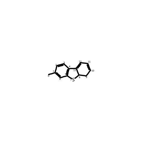 Cc1ccc2c(c1)SC1CC=CC=C21